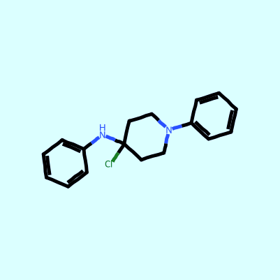 ClC1(Nc2ccccc2)CCN(c2ccccc2)CC1